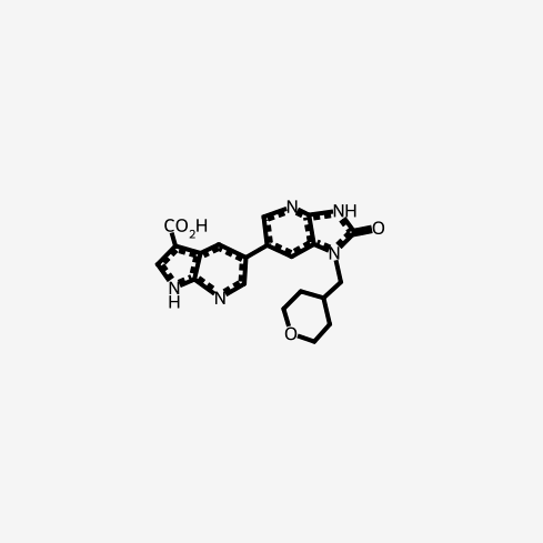 O=C(O)c1c[nH]c2ncc(-c3cnc4[nH]c(=O)n(CC5CCOCC5)c4c3)cc12